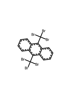 BrC(Br)(Br)c1c2ccccc2c(C(Br)(Br)Br)c2ccccc12